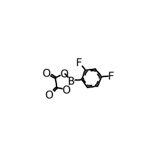 O=C1OB(c2ccc(F)cc2F)OC1=O